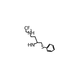 [NH]C(CCNCC(F)(F)F)CSc1ccccc1